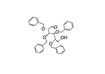 O=C[C@@H](OCc1ccccc1)[C@H](OCc1ccccc1)[C@@H](OCc1ccccc1)[C@@H](CO)OCc1ccccc1